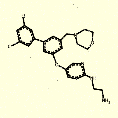 NCCNc1ccc(Oc2cc(CN3CCOCC3)cc(-c3cc(Cl)cc(Cl)c3)c2)cn1